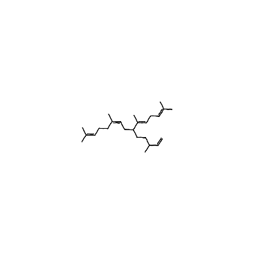 C=CC(C)CCC(CC=C(C)CCC=C(C)C)C(C)=CCC=C(C)C